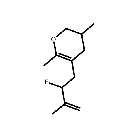 C=C(C)C(F)CC1=C(C)OCC(C)C1